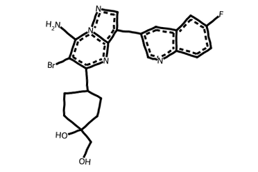 Nc1c(Br)c(C2CCC(O)(CO)CC2)nc2c(-c3cnc4ccc(F)cc4c3)cnn12